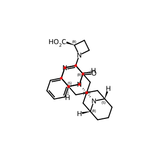 O=C(O)[C@H]1CCN1c1nc2ccccc2n([C@H]2C[C@H]3CCC[C@@H](C2)N3[C@H]2C[C@@H]3CCC[C@@H](C3)C2)c1=O